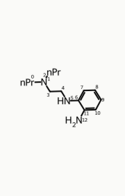 CCCN(CCC)CCNc1ccccc1N